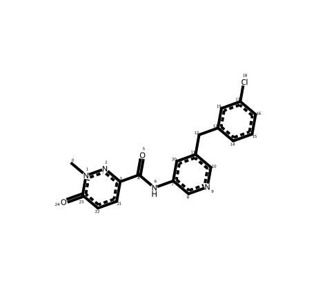 Cn1nc(C(=O)Nc2cncc(Cc3cccc(Cl)c3)c2)ccc1=O